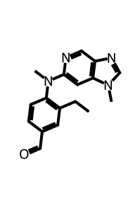 CCc1cc(C=O)ccc1N(C)c1cc2c(cn1)ncn2C